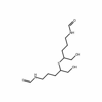 O=CNCCCC(CO)SC(CO)CCCNC=O